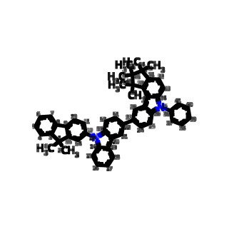 CC1(C)c2ccccc2-c2ccc(-n3c4ccccc4c4cc(-c5ccc6c(c5)c5c7c(ccc5n6-c5ccccc5)C(C)(C)C(C)(C)C7(C)C)ccc43)cc21